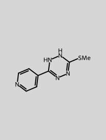 CSC1=NN=C(c2ccncc2)NN1